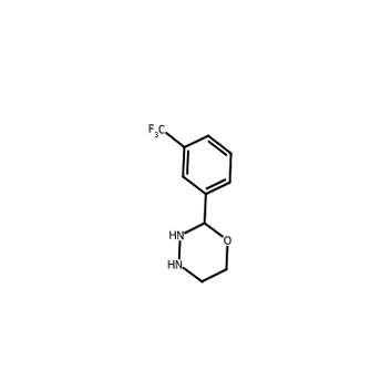 FC(F)(F)c1cccc(C2NNCCO2)c1